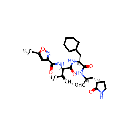 C=C(C)[C@H](NC(=O)c1cc(C)on1)C(=O)N[C@@H](CC1CCCCC1)C(=O)N[C@H](C=O)C[C@@H]1CCNC1=O